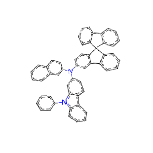 c1ccc(-n2c3ccccc3c3ccc(N(c4ccc5c(c4)-c4ccccc4C54c5ccccc5-c5ccccc54)c4ccc5ccccc5c4)cc32)cc1